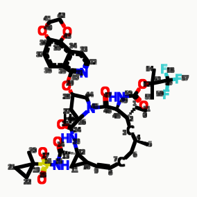 CC[C@@H]1C[C@@H](C)CC/C=C\C2C[C@@]2(C(=O)NS(=O)(=O)C2(C)CC2)NC(=O)[C@@H]2C[C@@H](Oc3nccc4c5c(ccc34)OCCO5)CN2C(=O)[C@H]1NC(=O)OC(C)(C)C(F)(F)F